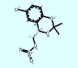 CC1(C)Oc2ccc(Cl)cc2[C@@H](CO[SH](=O)=O)O1